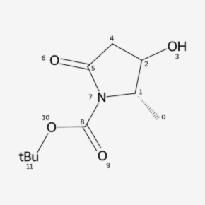 C[C@H]1C(O)CC(=O)N1C(=O)OC(C)(C)C